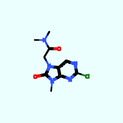 CN(C)C(=O)Cn1c(=O)n(C)c2nc(Cl)ncc21